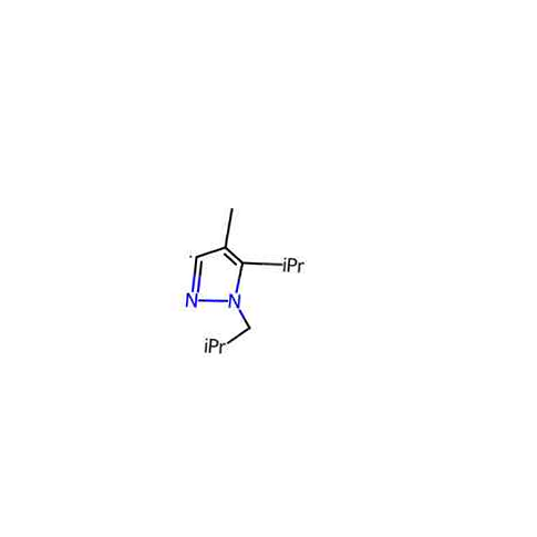 Cc1[c]nn(CC(C)C)c1C(C)C